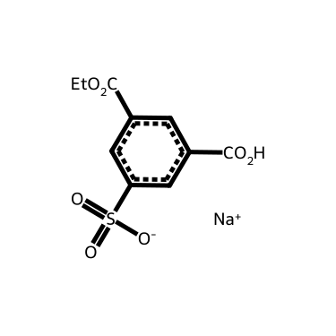 CCOC(=O)c1cc(C(=O)O)cc(S(=O)(=O)[O-])c1.[Na+]